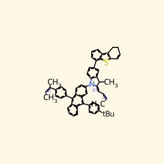 C/C=C\C=C1/C(C)c2cc(-c3cccc4c5c(sc34)C=CCC5)ccc2N1c1ccc2c(-c3ccc(/C(C)=C\C)cc3)c3ccccc3c(-c3ccc(C(C)(C)C)cc3)c2c1